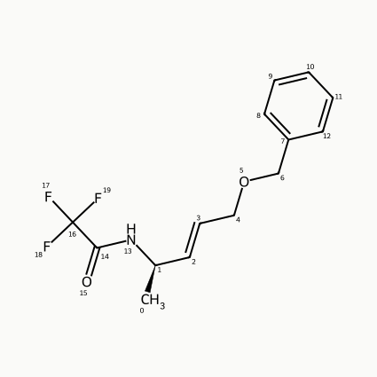 C[C@H](/C=C/COCc1ccccc1)NC(=O)C(F)(F)F